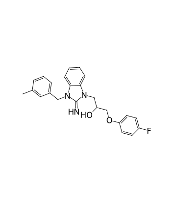 Cc1cccc(Cn2c(=N)n(CC(O)COc3ccc(F)cc3)c3ccccc32)c1